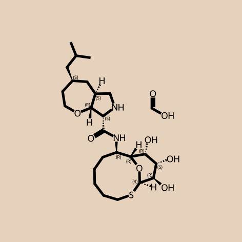 CC(C)C[C@@H]1CCO[C@@H]2[C@H](CN[C@@H]2C(=O)N[C@@H]2CCCCCS[C@H]3O[C@H]2[C@H](O)[C@H](O)[C@H]3O)C1.O=CO